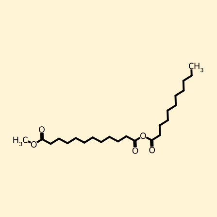 CCCCCCCCCCC(=O)OC(=O)CCCCCCCCCCC(=O)OC